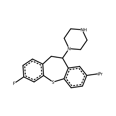 CC(C)c1ccc2c(c1)C(N1CCNCC1)Cc1ccc(F)cc1S2